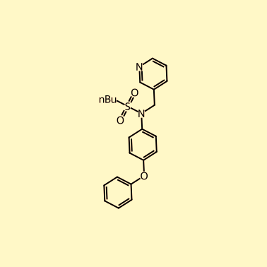 CCCCS(=O)(=O)N(Cc1cccnc1)c1ccc(Oc2ccccc2)cc1